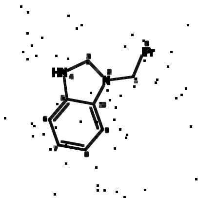 CC(C)CN1[CH]Nc2ccccc21